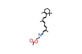 CC(=O)OCCN=CC=C(C)C=CC=C(C)C=CC1=C(C)CCCC1(C)C